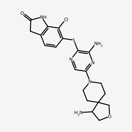 Nc1nc(N2CCC3(CC2)COCC3N)cnc1Sc1ccc2c(c1Cl)NC(=O)C2